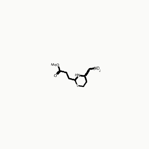 COC(=O)CCC1NC(=C[N+](=O)[O-])CCS1